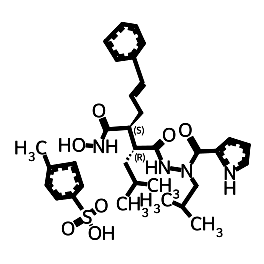 CC(C)C[C@@H](C(=O)NN(CC(C)C)C(=O)c1ccc[nH]1)[C@H](CC=Cc1ccccc1)C(=O)NO.Cc1ccc(S(=O)(=O)O)cc1